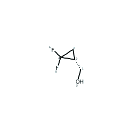 OC[C@H]1CC1(F)F